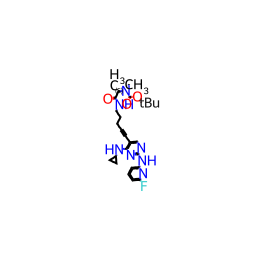 C[C@@H](C(=O)NCCCC#Cc1cnc(Nc2cccc(F)n2)nc1NC1CC1)N(C)C(=O)OC(C)(C)C